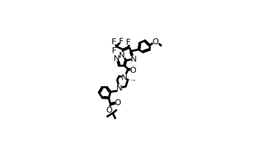 COc1ccc(-c2nc3c(C(=O)N4CCN(Cc5ccccc5C(=O)OC(C)(C)C)C[C@H]4C)cnn3c(C(F)(F)F)c2F)cc1